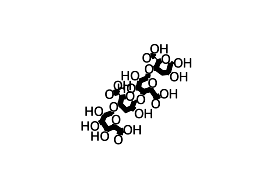 O=C(O)C1OC(OC2CC(O)[C@@H](OC3C(C(=O)O)OC(OC4CC(O)[C@@H](O)O[C@H]4C(=O)O)C(O)C3O)O[C@H]2C(=O)O)C(O)C(O)C1O